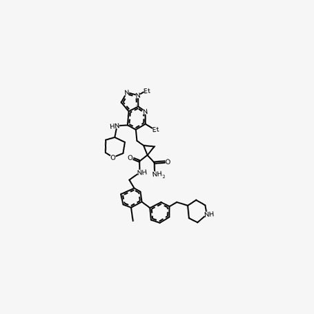 CCc1nc2c(cnn2CC)c(NC2CCOCC2)c1CC1CC1(C(N)=O)C(=O)NCc1ccc(C)c(-c2cccc(CC3CCNCC3)c2)c1